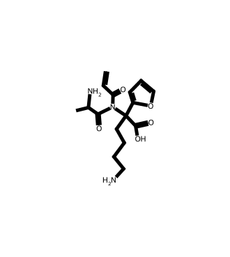 C=CC(=O)N(C(=O)C(C)N)C(CCCCN)(C(=O)O)c1ccco1